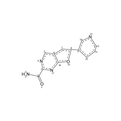 NC(=O)c1n[c]c2cc(-c3cccnc3)oc2n1